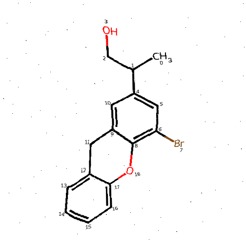 CC(CO)c1cc(Br)c2c(c1)Cc1ccccc1O2